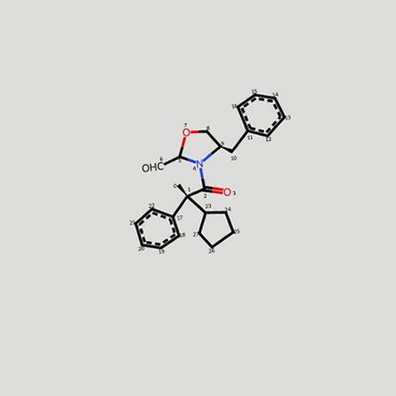 C[C@](C(=O)N1C(C=O)OC[C@H]1Cc1ccccc1)(c1ccccc1)C1CCCC1